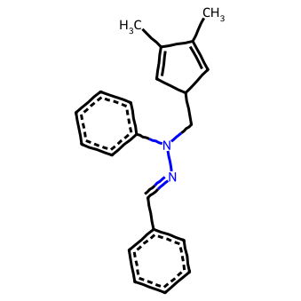 CC1=CC(CN(N=Cc2ccccc2)c2ccccc2)C=C1C